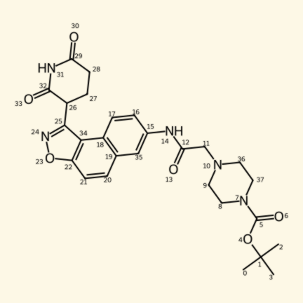 CC(C)(C)OC(=O)N1CCN(CC(=O)Nc2ccc3c(ccc4onc(C5CCC(=O)NC5=O)c43)c2)CC1